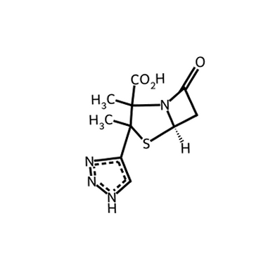 CC1(c2c[nH]nn2)S[C@@H]2CC(=O)N2C1(C)C(=O)O